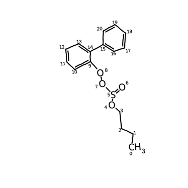 CCCCOS(=O)OOc1ccccc1-c1ccccc1